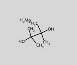 CC(C)(O)C(C)(C)O.[MgH2]